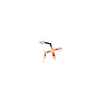 CCP(=O)(O)OF